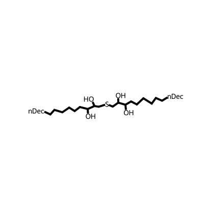 CCCCCCCCCCCCCCCCC(O)C(O)CSCC(O)C(O)CCCCCCCCCCCCCCCC